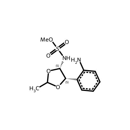 COS(=O)(=O)N[C@H]1OC(C)O[C@H]1c1ccccc1N